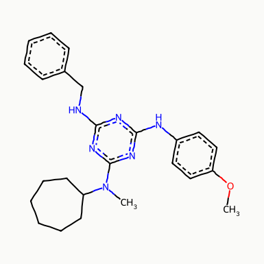 COc1ccc(Nc2nc(NCc3ccccc3)nc(N(C)C3CCCCCC3)n2)cc1